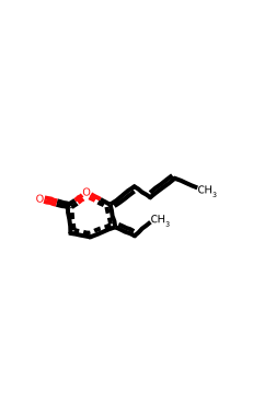 C/C=c1/ccc(=O)o/c1=C/C=C/C